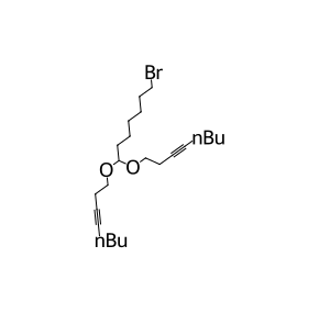 CCCCC#CCCOC(CCCCCCBr)OCCC#CCCCC